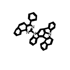 c1ccc(-c2nc(-n3c4ccccc4c4c5c6c7ccccc7ccc6n6c7ccccc7c(cc43)c56)nc3c2ccc2ccccc23)cc1